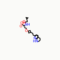 O=C(CC1CC1)N[C@@H](CCOC1CC(CCc2ccc3c(n2)NCCC3)C1)C(=O)O